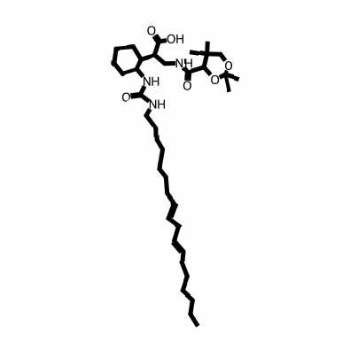 CCCCCCC=CCC=CCCCCCCCNC(=O)NC1CCCCC1C(CNC(=O)C1OC(C)(C)OCC1(C)C)C(=O)O